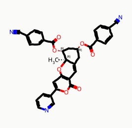 C[C@@]12Oc3cc(-c4cccnc4)oc(=O)c3C=C1C[C@@H](OC(=O)c1ccc(C#N)cc1)C[C@H]2OC(=O)c1ccc(C#N)cc1